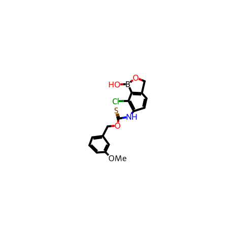 COc1cccc(COC(=S)Nc2ccc3c(c2Cl)B(O)OC3)c1